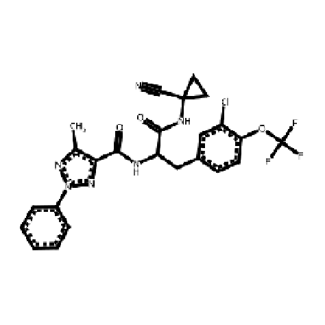 Cc1nn(-c2ccccc2)nc1C(=O)NC(Cc1ccc(OC(F)(F)F)c(Cl)c1)C(=O)NC1(C#N)CC1